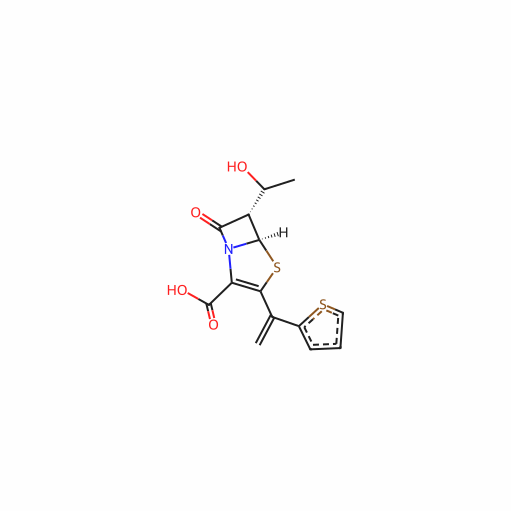 C=C(C1=C(C(=O)O)N2C(=O)[C@H](C(C)O)[C@H]2S1)c1cccs1